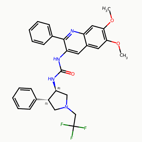 COc1cc2cc(NC(=O)N[C@H]3CN(CC(F)(F)F)C[C@@H]3c3ccccc3)c(-c3ccccc3)nc2cc1OC